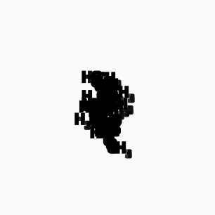 CCCN(C(=O)[C@@H](NC(=O)C(C)(C)N(C)CCNC(=O)C(C)NC(=O)C(CCCCNC(=O)CCOCCOC)NC(=O)CCCN1C(=O)CC(SC)C1=O)C(C)CC)[C@H](C[C@@H](OC(C)=O)c1nc(C(=O)N[C@@H](Cc2ccccn2)CC(C)C(=O)O)cs1)C(C)C